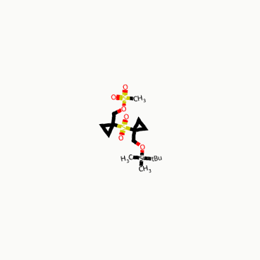 CC(C)(C)[Si](C)(C)OCC1(S(=O)(=O)C2(COS(C)(=O)=O)CC2)CC1